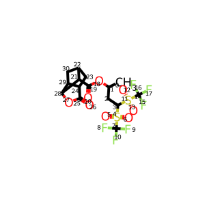 CC(CC(S(=O)(=O)C(F)(F)F)S(=O)(=O)C(F)(F)F)OC(=O)C1C2CC3C(=O)OC1C3C2